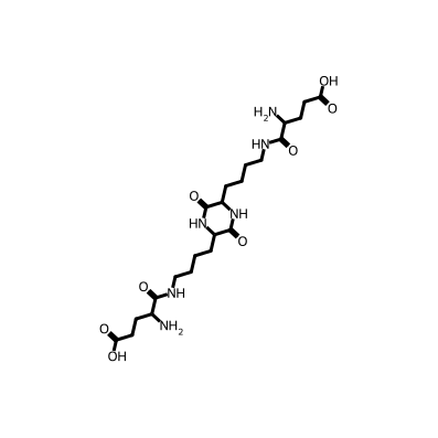 NC(CCC(=O)O)C(=O)NCCCCC1NC(=O)C(CCCCNC(=O)C(N)CCC(=O)O)NC1=O